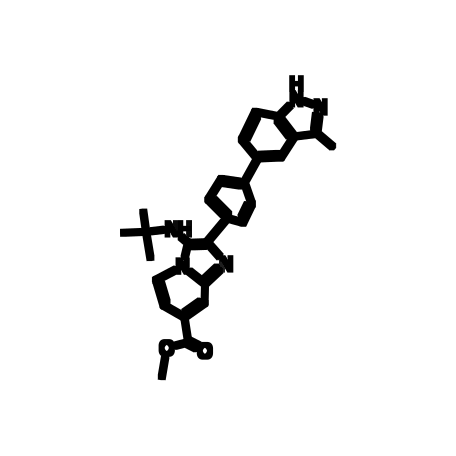 COC(=O)c1ccn2c(NC(C)(C)C)c(-c3ccc(-c4ccc5[nH]nc(C)c5c4)cc3)nc2c1